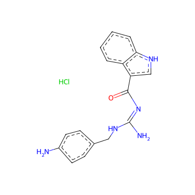 Cl.NC(=NC(=O)c1c[nH]c2ccccc12)NCc1ccc(N)cc1